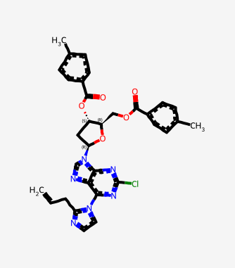 C=CCc1nccn1-c1nc(Cl)nc2c1ncn2[C@H]1C[C@H](OC(=O)c2ccc(C)cc2)[C@@H](COC(=O)c2ccc(C)cc2)O1